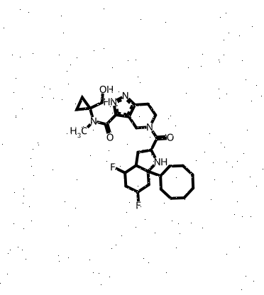 CN(C(=O)c1[nH]nc2c1CN(C(=O)C1CC3C(F)CC(F)CC3(C3CCCCCCC3)N1)CC2)C1(CO)CC1